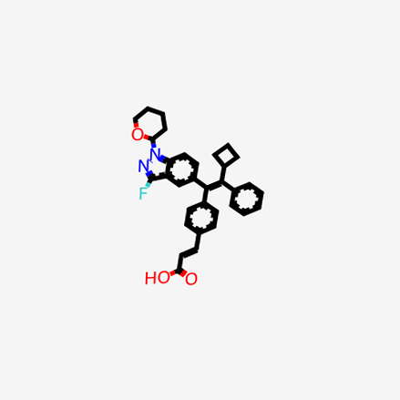 O=C(O)/C=C/c1ccc(/C(=C(\c2ccccc2)C2CCC2)c2ccc3c(c2)c(F)nn3C2CCCCO2)cc1